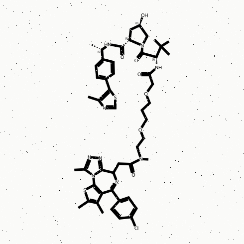 Cc1ncsc1-c1ccc([C@H](C)NC(=O)[C@@H]2C[C@@H](O)CN2C(=O)[C@@H](NC(=O)COCCCOCCN(C)C(=O)CC2N=C(c3ccc(Cl)cc3)c3c(sc(C)c3C)-n3c(C)nnc32)C(C)(C)C)cc1